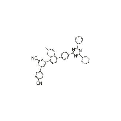 CC1C=Cc2c(-c3ccc(-c4nc(-c5ccccc5)nc(-c5ccccc5)n4)cc3)ccc(-c3cc(C#N)cc(-c4ccc(C#N)cc4)c3)c2C1